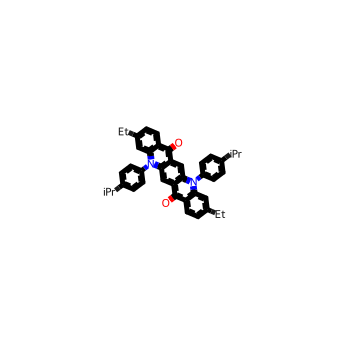 CCc1ccc2c(=O)c3cc4c(cc3n(-c3ccc(C(C)C)cc3)c2c1)c(=O)c1ccc(CC)cc1n4-c1ccc(C(C)C)cc1